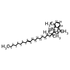 CCCCCCCC/C=C/CCCCCCCCC(C)(C)C(=O)Nc1c(C)cccc1OC